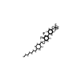 CCCCCCCC1CCC(COc2ccc(-c3ccc(OC(F)(F)F)cc3)c(F)c2F)CC1